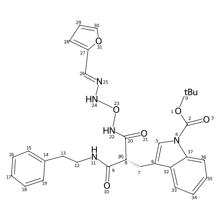 CC(C)(C)OC(=O)n1cc(C[C@H](C(=O)NCCc2ccccc2)C(=O)NONN=Cc2ccco2)c2ccccc21